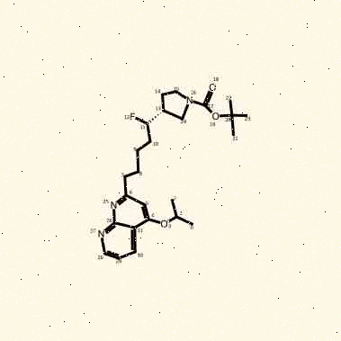 CC(C)Oc1cc(CCCCC(F)[C@@H]2CCN(C(=O)OC(C)(C)C)C2)nc2ncccc12